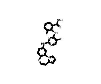 CNC(=O)c1cccc(F)c1Nc1nc(Nc2ccc3c(c2)-n2cccc2C=CO3)ncc1Cl